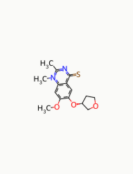 COc1cc2c(cc1O[C@H]1CCOC1)c(=S)nc(C)n2C